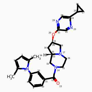 Cc1ccc(C)n1-c1cccc(C(=O)N2CCN3C[C@H](Oc4cnc(C5CC5)cn4)C[C@H]3C2)c1